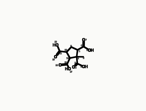 CC1(C(=O)O)C(C(=O)O)CC(C(=O)O)C1C(=O)O